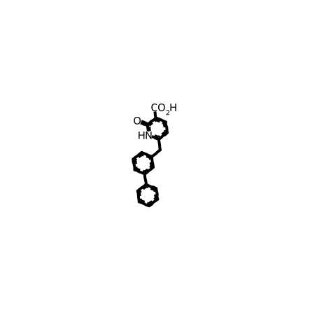 O=C(O)c1ccc(Cc2cccc(-c3ccccc3)c2)[nH]c1=O